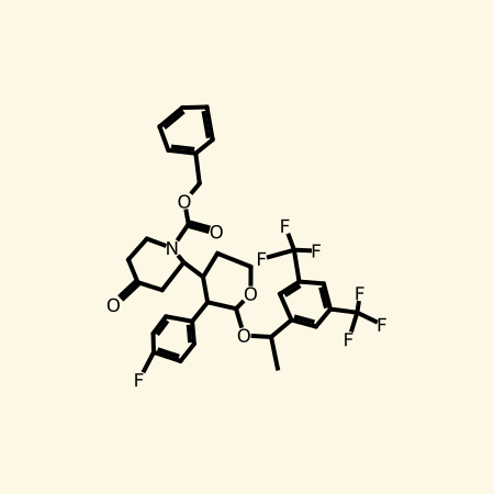 CC(OC1OCCC(C2CC(=O)CCN2C(=O)OCc2ccccc2)C1c1ccc(F)cc1)c1cc(C(F)(F)F)cc(C(F)(F)F)c1